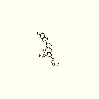 Cc1cc(CN2CCN(c3nc4ccc(I)cc4s3)C[C@@H]2C)cc(OCC=O)c1